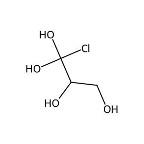 OCC(O)C(O)(O)Cl